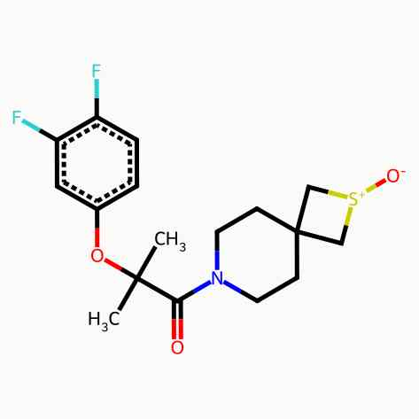 CC(C)(Oc1ccc(F)c(F)c1)C(=O)N1CCC2(CC1)C[S+]([O-])C2